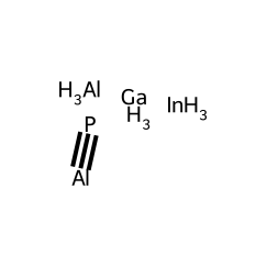 [AlH3].[Al]#[P].[GaH3].[InH3]